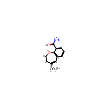 CCOC(=O)C1=Cc2cccc(C(N)=O)c2OCC1